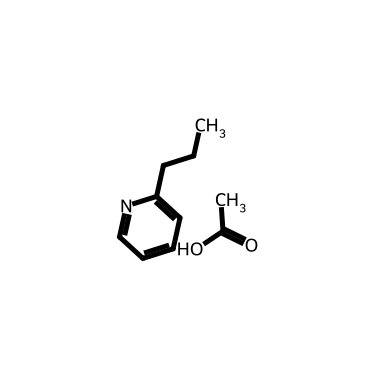 CC(=O)O.CCCc1ccccn1